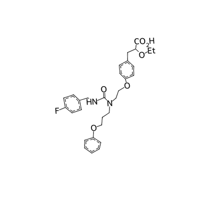 CCOC(Cc1ccc(OCCN(CCCOc2ccccc2)C(=O)NCc2ccc(F)cc2)cc1)C(=O)O